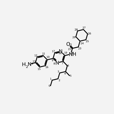 CCCCC(C)Cc1nc(-c2ccc(N)cc2)cnc1NC(=O)CC1CCCCC1